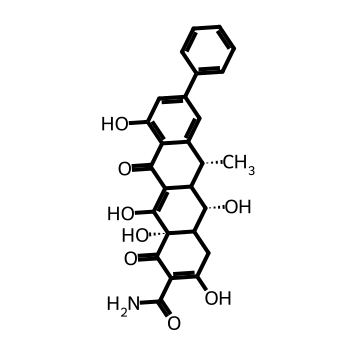 C[C@H]1c2cc(-c3ccccc3)cc(O)c2C(=O)C2=C(O)[C@]3(O)C(=O)C(C(N)=O)=C(O)CC3[C@@H](O)C21